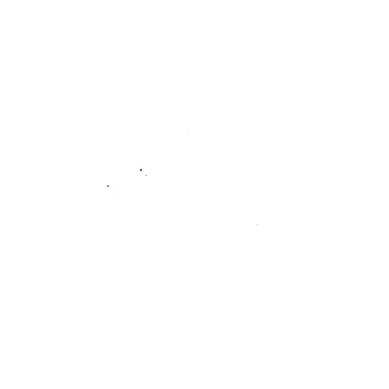 Cc1ccc2cn[nH]c2c1C(C)C